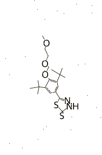 COCCOCOc1c(C(C)(C)C)cc(-c2n[nH]c(=S)s2)cc1C(C)(C)C